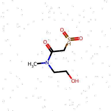 CN(CCO)C(=O)C[SH](=O)=O